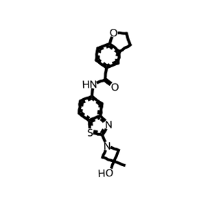 CC1(O)CN(c2nc3cc(NC(=O)c4ccc5c(c4)CCO5)ccc3s2)C1